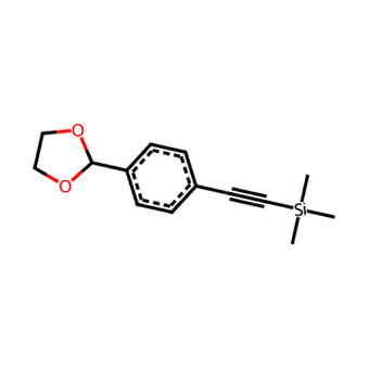 C[Si](C)(C)C#Cc1ccc(C2OCCO2)cc1